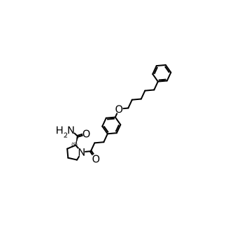 NC(=O)[C@@H]1CCCN1C(=O)CCc1ccc(OCCCCCc2ccccc2)cc1